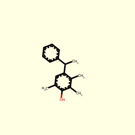 Cc1cc(C(C)c2ccccc2)c(C)c(C)c1O